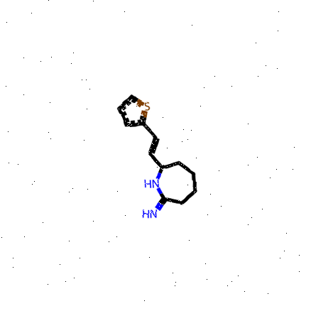 N=C1CCCCC(/C=C/c2cccs2)N1